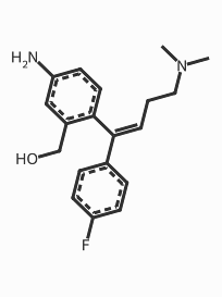 CN(C)CCC=C(c1ccc(F)cc1)c1ccc(N)cc1CO